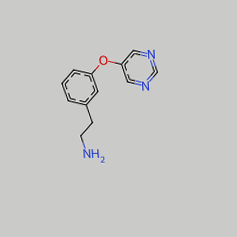 NCCc1cccc(Oc2cncnc2)c1